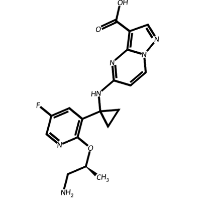 C[C@@H](CN)Oc1ncc(F)cc1C1(Nc2ccn3ncc(C(=O)O)c3n2)CC1